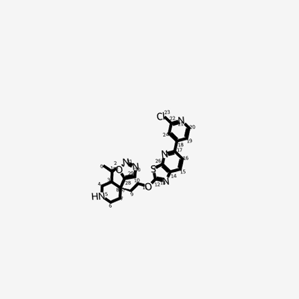 CC(C)C1CNCC[C@@]1(CCOc1nc2ccc(-c3ccnc(Cl)c3)nc2s1)c1cnno1